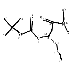 CSC[C@H](NC(=O)OC(C)(C)C)C(=O)N(C)C